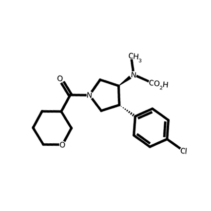 CN(C(=O)O)[C@@H]1CN(C(=O)C2CCCOC2)C[C@H]1c1ccc(Cl)cc1